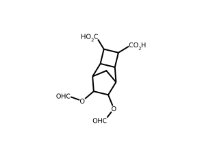 O=COC1C2CC(C1OC=O)C1C(C(=O)O)C(C(=O)O)C21